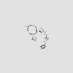 CC[C@H]1OC(=O)[C@H](C)[C@@H](C2C[C@@](C)(OC)[C@@H](O)[C@H](C)O2)[C@H](C)[C@@H](O[C@@H]2O[C@H](C)C[C@H](N(C)CCc3cn(CCc4ccc(Cl)c(Cl)c4)nn3)[C@H]2O)[C@](C)(O)C[C@@H](C)CN(C)[C@H](C)[C@@H](O)[C@]1(C)O